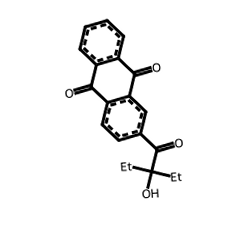 CCC(O)(CC)C(=O)c1ccc2c(c1)C(=O)c1ccccc1C2=O